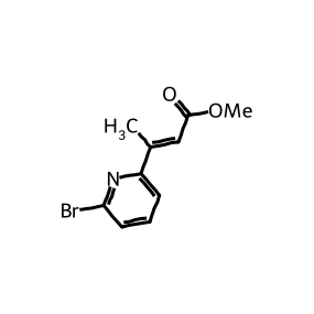 COC(=O)/C=C(\C)c1cccc(Br)n1